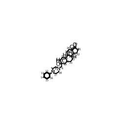 C[C@]12CCC(O)(CN3CCN(c4ccccc4)CC3)CC1CC[C@@H]1[C@H]2CC[C@]2(C)C(=O)CC[C@@H]12